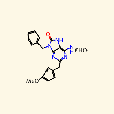 COc1ccc(Cc2nc(N[C]=O)c3[nH]c(=O)n(Cc4ccccc4)c3n2)cc1